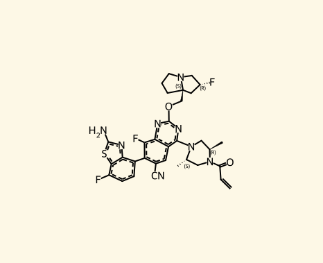 C=CC(=O)N1C[C@H](C)N(c2nc(OC[C@@]34CCCN3C[C@H](F)C4)nc3c(F)c(-c4ccc(F)c5sc(N)nc45)c(C#N)cc23)C[C@H]1C